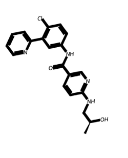 C[C@H](O)CNc1ccc(C(=O)Nc2ccc(Cl)c(-c3ccccn3)c2)cn1